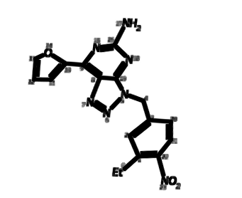 CCc1cc(Cn2nnc3c(-c4ccco4)nc(N)nc32)ccc1[N+](=O)[O-]